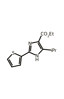 CCOC(=O)c1nc(-c2cccs2)[nH]c1C(C)C